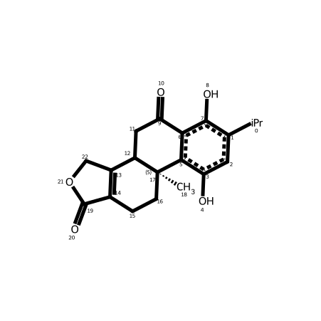 CC(C)c1cc(O)c2c(c1O)C(=O)CC1C3=C(CC[C@]21C)C(=O)OC3